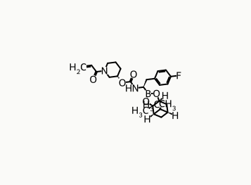 C=CC(=O)N1CCC[C@H](OC(=O)N[C@@H](Cc2ccc(F)cc2)B2O[C@@H]3C[C@@H]4C[C@@H](C4(C)C)[C@]3(C)O2)C1